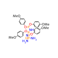 COc1ccc(OP(N[PH](N=[PH](N)N)(Oc2ccc(OC)cc2)Oc2ccc(OC)cc2)Oc2ccc(OC)cc2)cc1